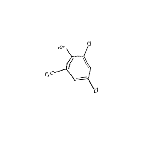 [CH2]CCc1c(Cl)cc(Cl)cc1C(F)(F)F